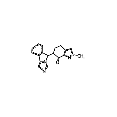 Cn1cc2c(n1)C(=O)C(C1c3ccccc3-c3cncn31)CC2